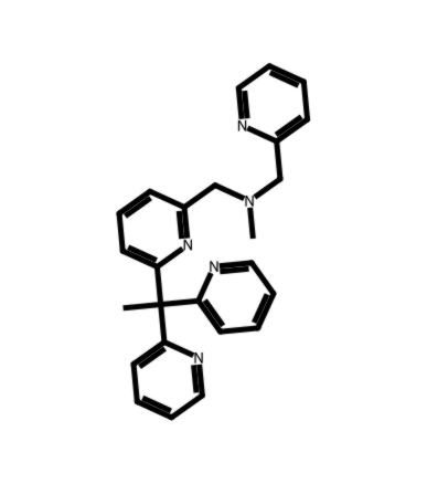 CN(Cc1ccccn1)Cc1cccc(C(C)(c2ccccn2)c2ccccn2)n1